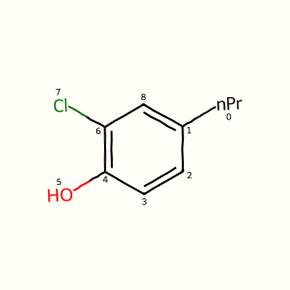 CCCc1ccc(O)c(Cl)c1